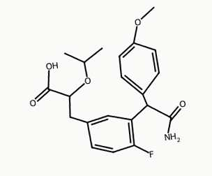 COc1ccc(C(C(N)=O)c2cc(CC(OC(C)C)C(=O)O)ccc2F)cc1